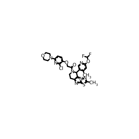 Cc1nn2c3c(nc2s1)CCN(C(=O)COc1ccc(N2CCOCC2)nc1Cl)C3c1cnc(OC(F)F)cc1C